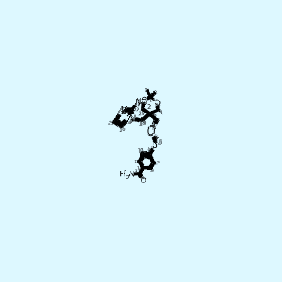 CC1(C)OCC(COSc2ccc(C(N)=O)cc2)(Cn2ccnc2[N+](=O)[O-])CO1